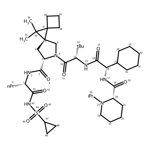 CCC[C@H](NC(=O)[C@@H]1C[C@@]2(CN1C(=O)[C@@H](NC(=O)[C@@H](NC(=O)[C@@H]1CCCCN1C(C)C)C1CCCCC1)C(C)(C)C)C(C)(C)C21CCC1)C(=O)NS(=O)(=O)C1CC1